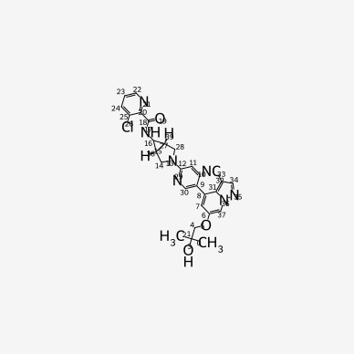 CC(C)(O)COc1cc(-c2ccc(N3C[C@@H]4C(NC(=O)c5ncccc5Cl)[C@@H]4C3)nc2)c2c(C#N)cnn2c1